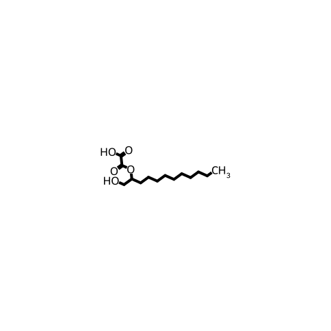 CCCCCCCCCCC(CO)OC(=O)C(=O)O